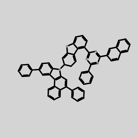 C1=c2oc3cccc(-c4nc(-c5ccccc5)nc(-c5ccc6ccccc6c5)n4)c3c2=CCC1n1c2ccc(-c3ccccc3)cc2c2c3ccccc3c(-c3ccccc3)cc21